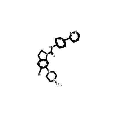 CN1CCN(c2cc3c(cc2Br)CCN3C(=O)Nc2ccc(-c3cccnn3)cc2)CC1